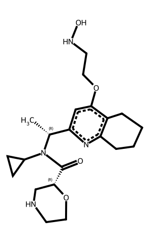 C[C@H](c1cc(OCCNO)c2c(n1)CCCC2)N(C(=O)[C@H]1CNCCO1)C1CC1